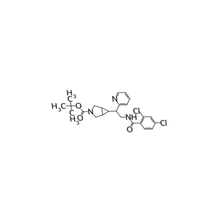 CC(C)(C)OC(=O)N1CC2C(C1)C2C(CNC(=O)c1ccc(Cl)cc1Cl)c1ccccn1